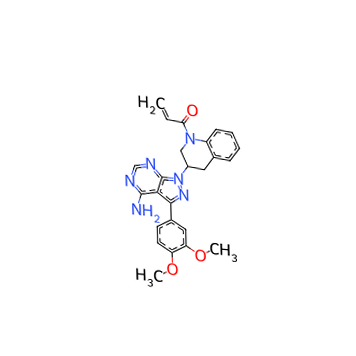 C=CC(=O)N1CC(n2nc(-c3ccc(OC)c(OC)c3)c3c(N)ncnc32)Cc2ccccc21